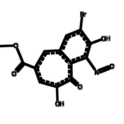 COC(=O)c1cc(O)c(=O)c2c(N=O)c(O)c(Br)cc2c1